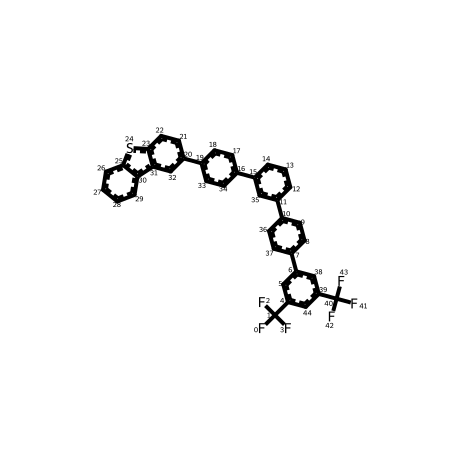 FC(F)(F)c1cc(-c2ccc(-c3cccc(-c4ccc(-c5ccc6sc7ccccc7c6c5)cc4)c3)cc2)cc(C(F)(F)F)c1